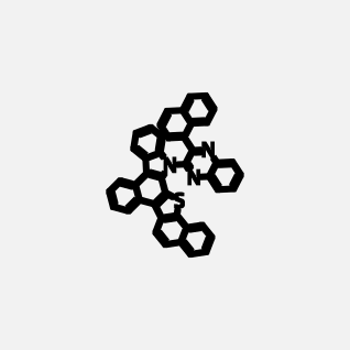 c1ccc2c(-c3nc4ccccc4nc3-n3c4ccccc4c4c5ccccc5c5c6ccc7ccccc7c6sc5c43)cccc2c1